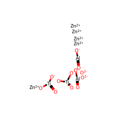 [O-2].[O-2].[O]=[Al][O-].[O]=[Al][O-].[O]=[Ti]([O-])[O-].[O]=[Ti]([O-])[O-].[Zn+2].[Zn+2].[Zn+2].[Zn+2].[Zn+2]